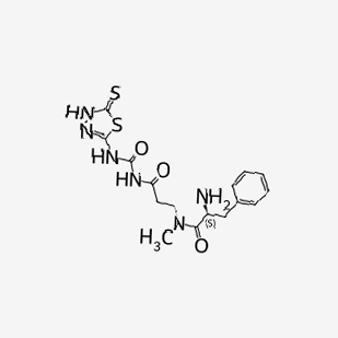 CN(CCC(=O)NC(=O)Nc1n[nH]c(=S)s1)C(=O)[C@@H](N)Cc1ccccc1